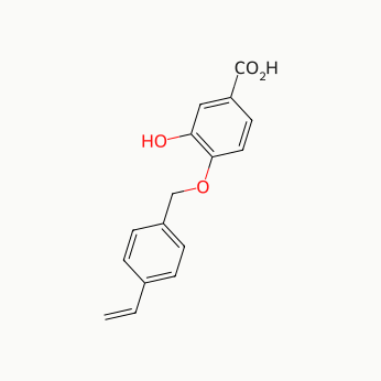 C=Cc1ccc(COc2ccc(C(=O)O)cc2O)cc1